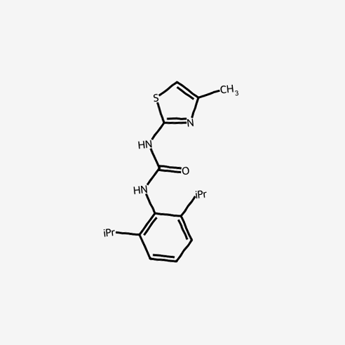 Cc1csc(NC(=O)Nc2c(C(C)C)cccc2C(C)C)n1